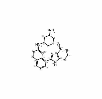 NC1CCCC(Nc2ccc3cccc(-c4cc5c([nH]4)CCNC5=O)c3n2)C1